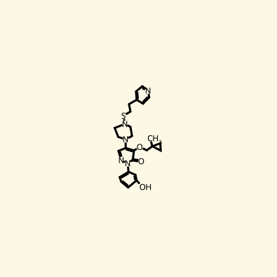 CC1(COc2c(N3CCN(SCCc4ccncc4)CC3)cnn(-c3cccc(O)c3)c2=O)CC1